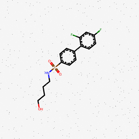 O=S(=O)(NCCCCO)c1ccc(-c2ccc(F)cc2F)cc1